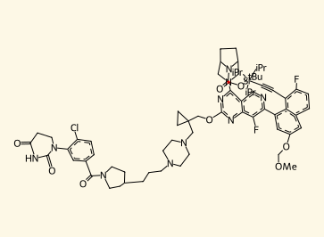 COCOc1cc(-c2ncc3c(N4CC5CCC(C4)N5C(=O)OC(C)(C)C)nc(OCC4(CN5CCN(CCCC6CCN(C(=O)c7ccc(Cl)c(N8CCC(=O)NC8=O)c7)CC6)CC5)CC4)nc3c2F)c2c(C#C[Si](C(C)C)(C(C)C)C(C)C)c(F)ccc2c1